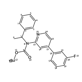 CC(c1ccccc1)N(C(=O)OC(C)(C)C)c1cc(-c2[c]ccc(F)c2)ccn1